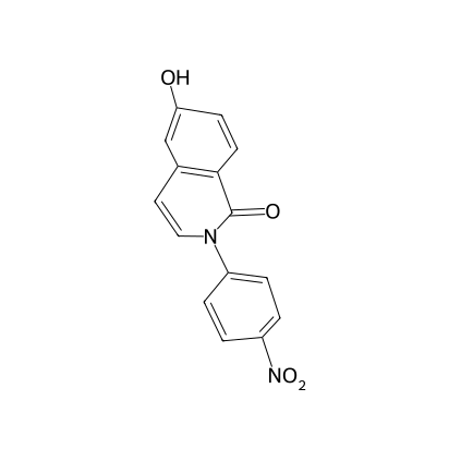 O=c1c2ccc(O)cc2ccn1-c1ccc([N+](=O)[O-])cc1